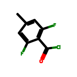 Cc1cc(F)c(C(=O)Cl)c(F)c1